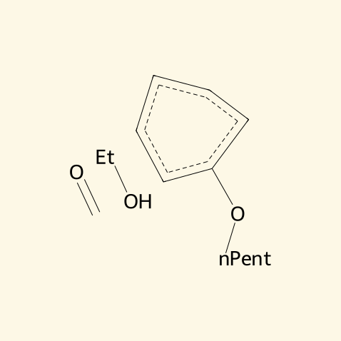 C=O.CCCCCOc1ccccc1.CCO